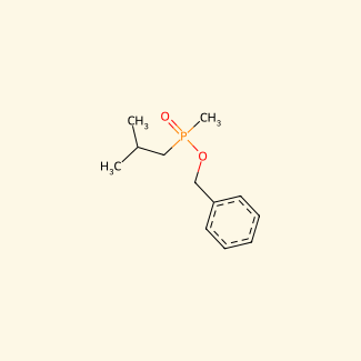 CC(C)CP(C)(=O)OCc1ccccc1